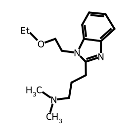 CCOCCn1c(CCCN(C)C)nc2ccccc21